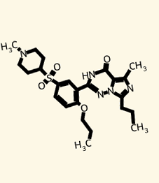 CCCOc1ccc(S(=O)(=O)C2CCN(C)CC2)cc1-c1nn2c(CCC)nc(C)c2c(=O)[nH]1